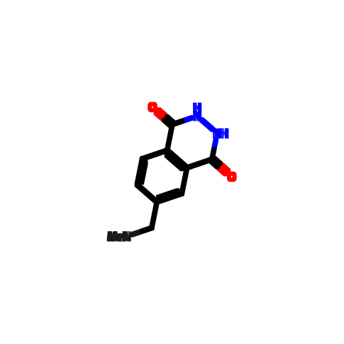 CNCc1ccc2c(=O)[nH][nH]c(=O)c2c1